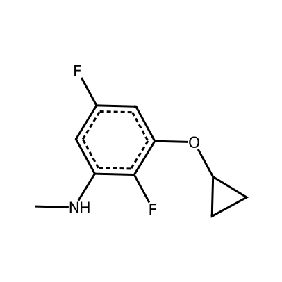 CNc1cc(F)cc(OC2CC2)c1F